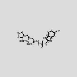 CC(C)(CNC(=O)CC(CC1CCCC1)N(O)C=O)Cc1nc2cc(F)ccc2[nH]1